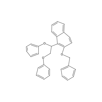 c1ccc(COc2ccc3ccccc3c2C(COc2ccccc2)Oc2ccccc2)cc1